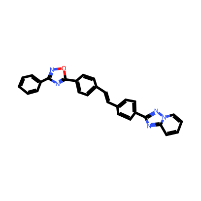 C(=Cc1ccc(-c2nc(-c3ccccc3)no2)cc1)c1ccc(-c2nc3ccccn3n2)cc1